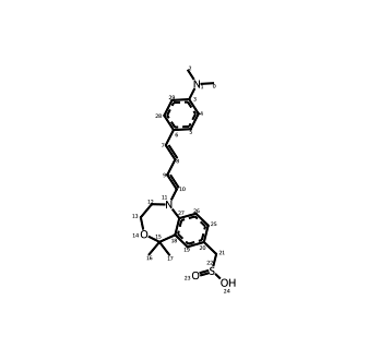 CN(C)c1ccc(C=CC=CN2CCOC(C)(C)c3cc(CS(=O)O)ccc32)cc1